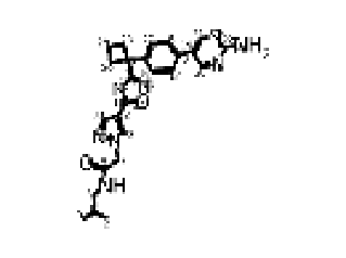 CC(C)CNC(=O)Cn1cc(-c2nc(C3(c4ccc(-c5cnc(N)nc5)cc4)CCC3)no2)cn1